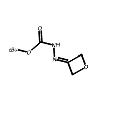 CC(C)(C)OC(=O)NN=C1COC1